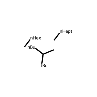 CCCCC(C)C(C)(C)C.CCCCCCC.CCCCCCCC